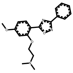 COc1ccc(-c2nc(-c3ccccc3)no2)c(OCCN(C)C)c1